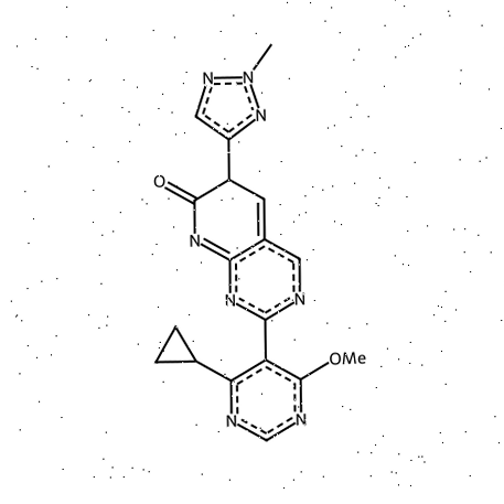 COc1ncnc(C2CC2)c1-c1ncc2c(n1)=NC(=O)C(c1cnn(C)n1)C=2